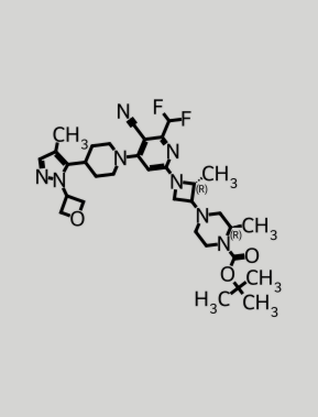 Cc1cnn(C2COC2)c1C1CCN(c2cc(N3CC(N4CCN(C(=O)OC(C)(C)C)[C@H](C)C4)[C@H]3C)nc(C(F)F)c2C#N)CC1